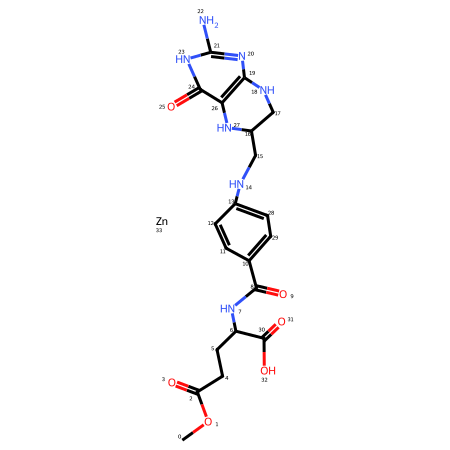 COC(=O)CCC(NC(=O)c1ccc(NCC2CNc3nc(N)[nH]c(=O)c3N2)cc1)C(=O)O.[Zn]